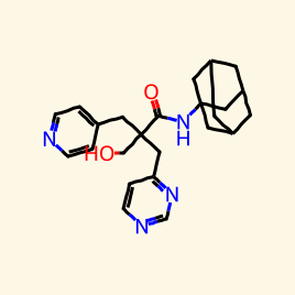 O=C(NC12CC3CC(CC(C3)C1)C2)C(CO)(Cc1ccncc1)Cc1ccncn1